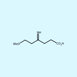 COCCC(=N)CCC(=O)O